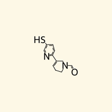 O=CN1CCC=C(c2ccc(S)cn2)C1